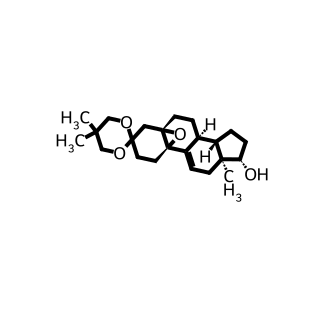 CC1(C)COC2(CC[C@]34O[C@@]3(CC[C@@H]3C4=CC[C@]4(C)[C@@H](O)CC[C@@H]34)C2)OC1